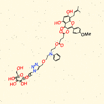 COc1ccc(-c2oc3c(CC=C(C)C)c(O)cc(O)c3c(=O)c2OC(=O)CCC(=O)OCCN(CCOCc2cn(CCO[C@@H]3O[C@H](CO)[C@@H](O)[C@H](O)[C@H]3O)nn2)c2ccccc2)cc1